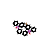 O=P(c1ccccc1)(c1ccccc1)c1ccc2c(c1)C1C=C(P(=O)(c3ccccc3)C3C=CC=CC3)C=CC1S2